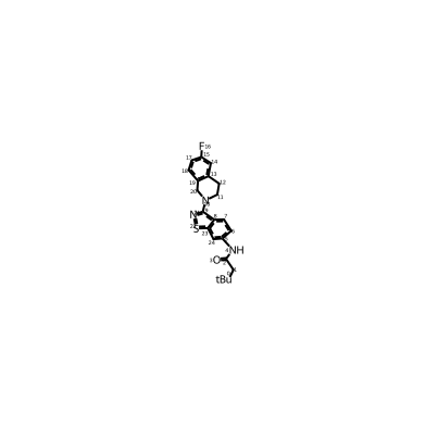 CC(C)(C)CC(=O)Nc1ccc2c(N3CCc4cc(F)ccc4C3)nsc2c1